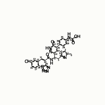 Cc1csc(CC(NC(=O)C=Cc2cc(Cl)ccc2-n2cnnn2)c2cc(-c3ccc(NC(=O)O)cc3)c(=O)[nH]n2)n1